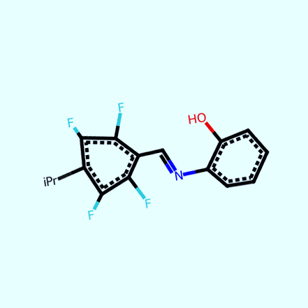 CC(C)c1c(F)c(F)c(/C=N/c2ccccc2O)c(F)c1F